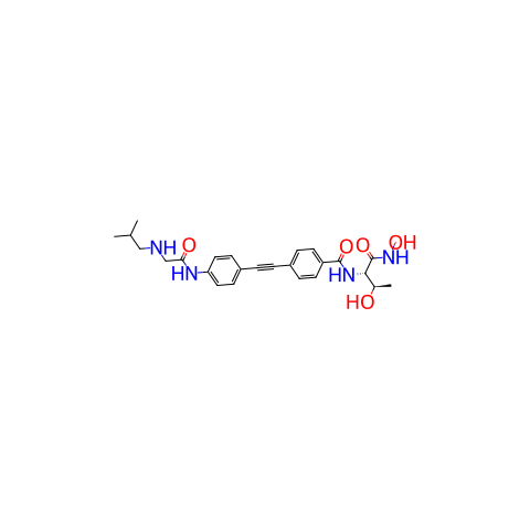 CC(C)CNCC(=O)Nc1ccc(C#Cc2ccc(C(=O)N[C@H](C(=O)NO)[C@@H](C)O)cc2)cc1